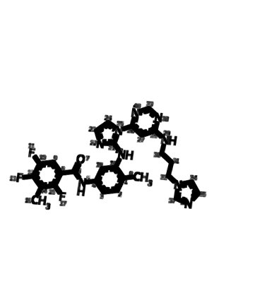 Cc1ccc(NC(=O)c2cc(F)c(F)c(C)c2F)cc1Nc1nccn1-c1cc(NCCCn2ccnc2)ncn1